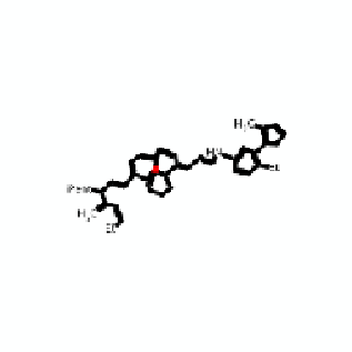 C=C(/C=C\CC)C(/C=C/C1=CC=C(\C=C/C(=C\C=C\Nc2ccc(CC)c(C3=C(C)C=CC3)c2)C2C=CCCC2)CC1)C(C)CCC